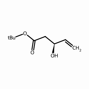 C=C[C@@H](O)CC(=O)OC(C)(C)C